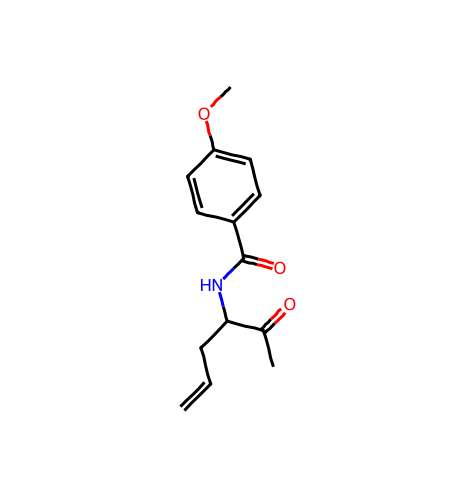 C=CCC(NC(=O)c1ccc(OC)cc1)C(C)=O